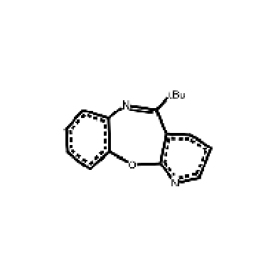 CC(C)(C)C1=Nc2ccccc2Oc2ncccc21